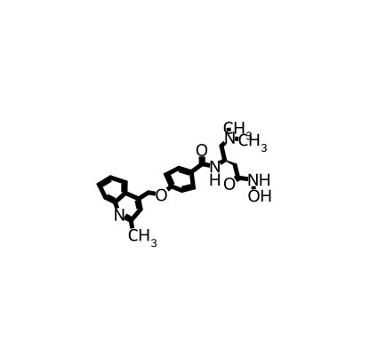 Cc1cc(COc2ccc(C(=O)N[C@H](CC(=O)NO)CN(C)C)cc2)c2ccccc2n1